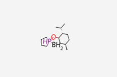 B[PH]1(O[C@@H]2C[C@H](C)CC[C@H]2C(C)C)CCCC1